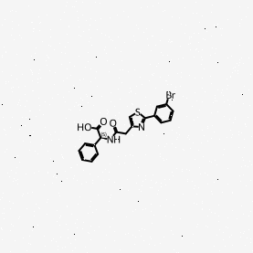 O=C(Cc1csc(-c2cccc(Br)c2)n1)N[C@H](C(=O)O)c1ccccc1